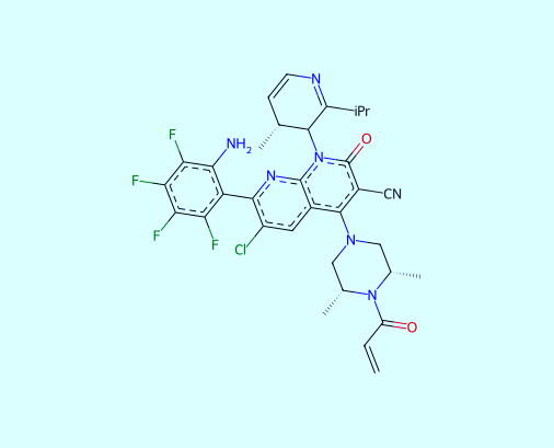 C=CC(=O)N1[C@H](C)CN(c2c(C#N)c(=O)n(C3C(C(C)C)=NC=C[C@H]3C)c3nc(-c4c(N)c(F)c(F)c(F)c4F)c(Cl)cc23)C[C@@H]1C